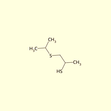 CC(S)CSC(C)C